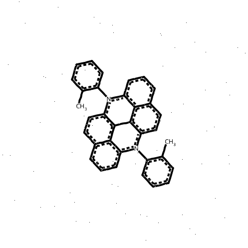 Cc1ccccc1-n1c2ccc3cccc4c3c2-c2c3c(cccc31)ccc2n4-c1ccccc1C